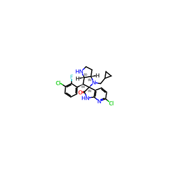 O=C1Nc2nc(Cl)ccc2[C@@]12[C@@H](c1cccc(Cl)c1F)[C@@H]1NCC[C@@H]1N2CC1CC1